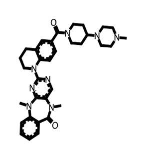 CN1CCN(C2CCN(C(=O)c3ccc4c(c3)CCCN4c3ncc4c(n3)N(C)c3ccccc3C(=O)N4C)CC2)CC1